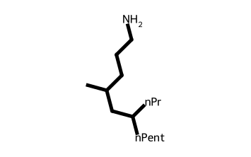 CCCCCC(CCC)CC(C)CCCN